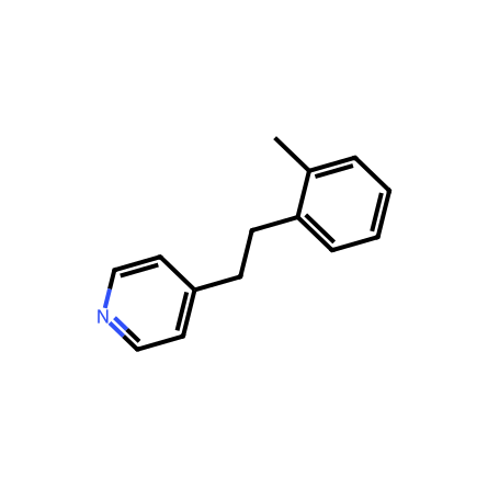 Cc1ccccc1CCc1ccncc1